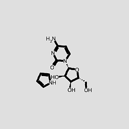 Nc1ccn([C@@H]2O[C@H](CO)[C@@H](O)[C@H]2O)c(=O)n1.c1cc[nH]c1